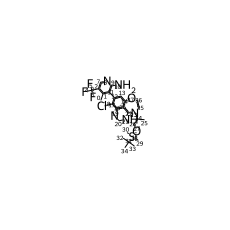 Cc1c(C(F)(F)F)cnc(N)c1-c1cc2c3c(c1Cl)=NCNC=3N(C(C)CO[Si](C)(C)C(C)(C)C)C=CO2